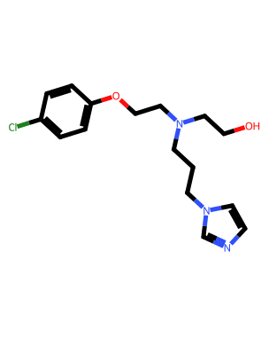 OCCN(CCCn1ccnc1)CCOc1ccc(Cl)cc1